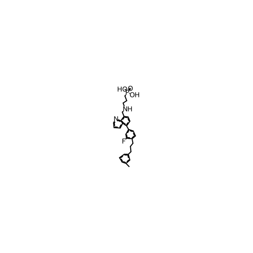 Cc1cccc(CCCc2ccc(-c3ccc(CNCCCP(=O)(O)O)c4ncccc34)cc2F)c1